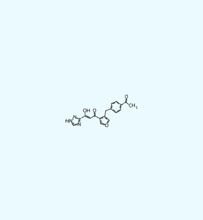 CC(=O)c1ccc(Cc2cocc2C(=O)C=C(O)c2nc[nH]n2)cc1